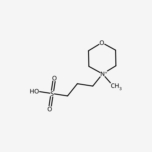 C[N+]1(CCCS(=O)(=O)O)CCOCC1